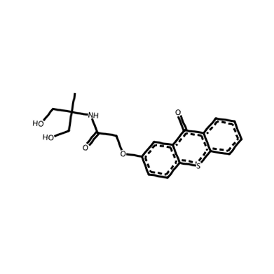 CC(CO)(CO)NC(=O)COc1ccc2sc3ccccc3c(=O)c2c1